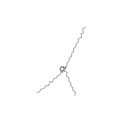 CCCCCCCCCCCCCCCCCn1cc[n+](CCCCCCCCCCCC)c1CCCCCCCCCC